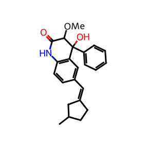 COC1C(=O)Nc2ccc(C=C3CCC(C)C3)cc2C1(O)c1ccccc1